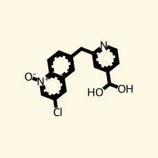 [O-][n+]1cc(Cl)cc2cc(Cc3cc(C(O)O)ccn3)ccc21